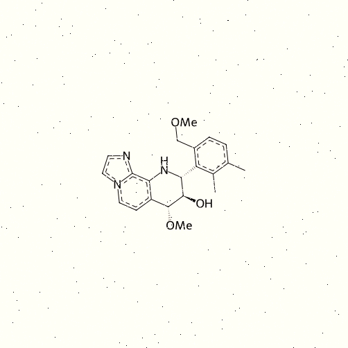 COCc1ccc(C)c(C)c1[C@H]1Nc2c(ccn3ccnc23)[C@@H](OC)[C@@H]1O